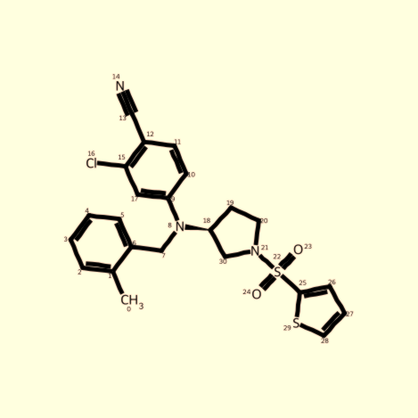 Cc1ccccc1CN(c1ccc(C#N)c(Cl)c1)[C@H]1CCN(S(=O)(=O)c2cccs2)C1